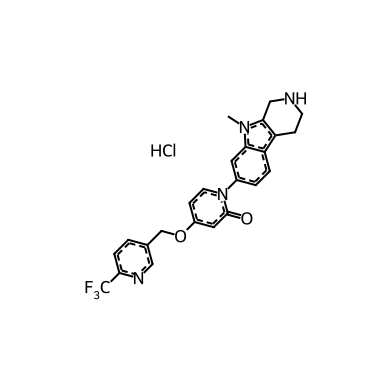 Cl.Cn1c2c(c3ccc(-n4ccc(OCc5ccc(C(F)(F)F)nc5)cc4=O)cc31)CCNC2